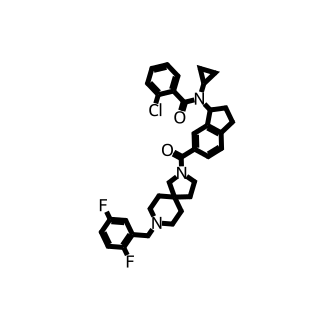 O=C(c1ccc2c(c1)C(N(C(=O)c1ccccc1Cl)C1CC1)CC2)N1CCC2(CCN(Cc3cc(F)ccc3F)CC2)C1